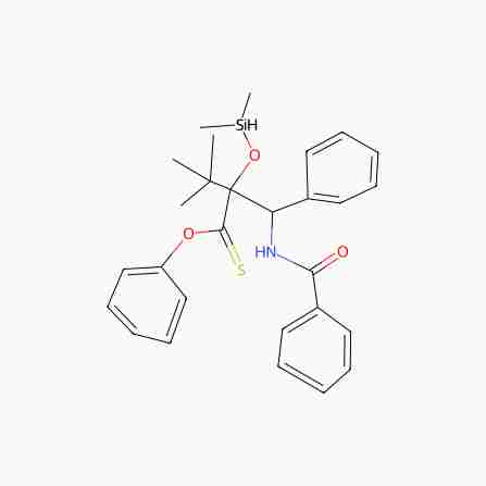 C[SiH](C)OC(C(=S)Oc1ccccc1)(C(NC(=O)c1ccccc1)c1ccccc1)C(C)(C)C